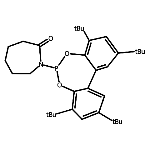 CC(C)(C)c1cc(C(C)(C)C)c2op(N3CCCCCC3=O)oc3c(C(C)(C)C)cc(C(C)(C)C)cc3c2c1